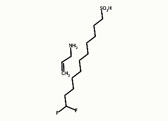 C=CCN.O=S(=O)(O)CCCCCCCCCCC(F)F